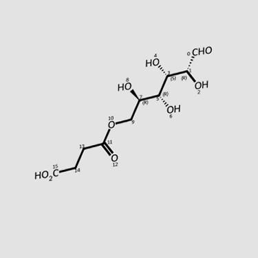 O=C[C@H](O)[C@@H](O)[C@H](O)[C@H](O)COC(=O)CCC(=O)O